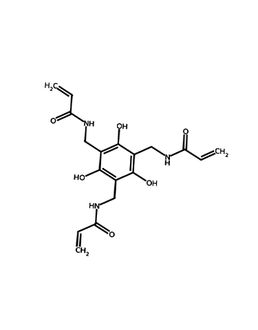 C=CC(=O)NCc1c(O)c(CNC(=O)C=C)c(O)c(CNC(=O)C=C)c1O